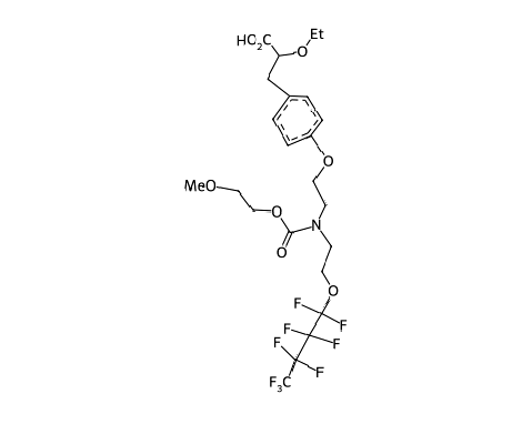 CCOC(Cc1ccc(OCCN(CCOC(F)(F)C(F)(F)C(F)(F)C(F)(F)F)C(=O)OCCOC)cc1)C(=O)O